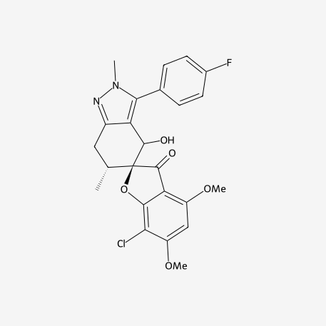 COc1cc(OC)c2c(c1Cl)O[C@]1(C2=O)C(O)c2c(nn(C)c2-c2ccc(F)cc2)C[C@H]1C